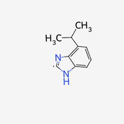 CC(C)c1cccc2[nH][c]nc12